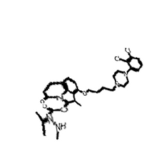 CNN(C(=O)OC1C(C)c2c(OCCCCN3CCN(c4cccc(Cl)c4Cl)CC3)ccc3c2N1C(=O)CC3)C(C)C